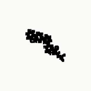 CN(C)CCNC(=O)c1cccc(-c2cncc(N3CCN(c4ccccc4C#N)CC3)n2)c1